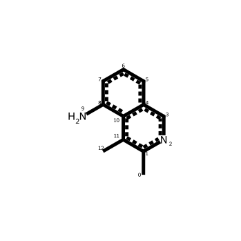 Cc1ncc2cccc(N)c2c1C